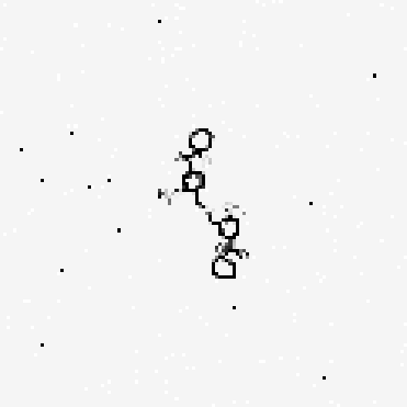 Cc1cc(C(=O)C2(O)CCCCC2)ccc1COCc1cc(C(=O)C2(O)CCCCC2)ccc1C